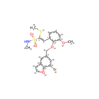 CNS(=O)(=O)/C(=C/c1cccc(OC)c1OCc1cc(Br)c2occc2c1)SC